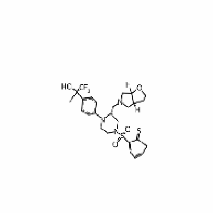 C[C@](O)(c1ccc(N2CCN(S(=O)(=O)C3=CC=CCC3=S)C[C@@H]2CN2C[C@H]3CCO[C@H]3C2)cc1)C(F)(F)F